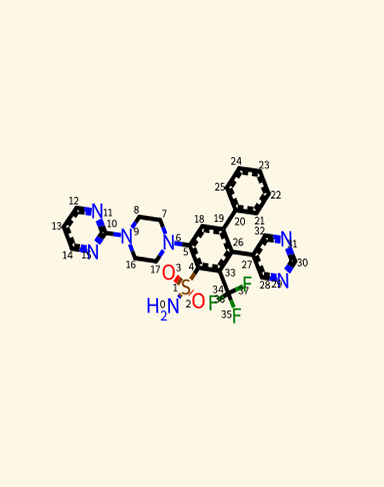 NS(=O)(=O)c1c(N2CCN(c3ncccn3)CC2)cc(-c2ccccc2)c(-c2cncnc2)c1C(F)(F)F